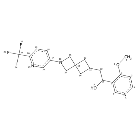 COc1ccncc1C(O)CC1CC2(C1)CN(c1ccc(C(F)(F)F)nc1)C2